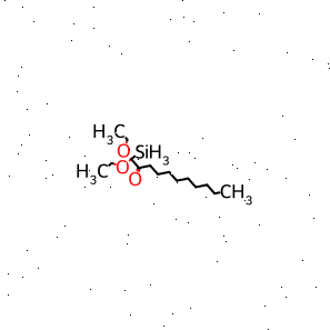 CCCCCCCCCC(=O)C([SiH3])(OCC)OCC